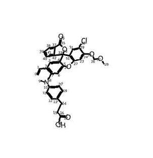 C=Cc1cc2c(cc1N(C)c1ccc(CCC(=O)O)cc1)Oc1cc(OCOC)c(Cl)cc1C21OC(=O)c2ccccc21